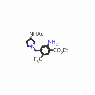 CCOC(=O)c1cc(C(F)(F)F)c(CN2CC[C@@H](NC(C)=O)C2)cc1N